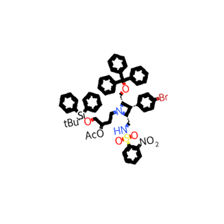 CC(=O)OC(CCN1[C@H](COC(c2ccccc2)(c2ccccc2)c2ccccc2)[C@H](c2ccc(Br)cc2)[C@@H]1CNS(=O)(=O)c1ccccc1[N+](=O)[O-])CO[Si](c1ccccc1)(c1ccccc1)C(C)(C)C